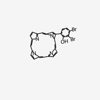 Oc1c(C2=CC3=CC4=NC(=CC5=NC(=CC6=NC(=CC2=N3)C=C6)C=C5)C=C4)ccc(Br)c1Br